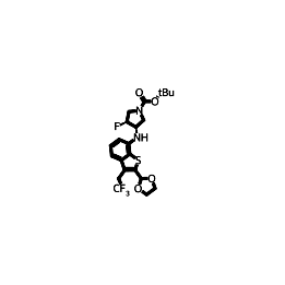 CC(C)(C)OC(=O)N1C[C@H](F)[C@H](Nc2cccc3c(CC(F)(F)F)c(C4OCCO4)sc23)C1